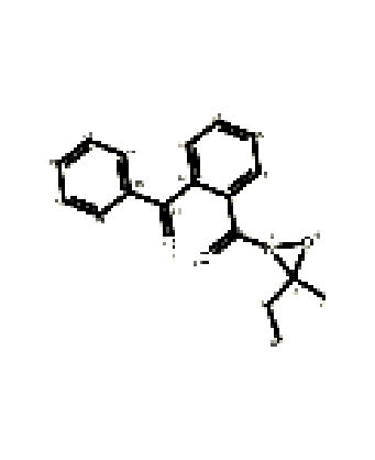 CCC1(C)ON1C(=O)c1ccccc1C(=O)c1ccccc1